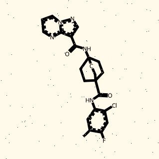 Cc1cc(NC(=O)C23CCC(NC(=O)c4cnn5cccnc45)(CC2)CC3)c(Cl)cc1F